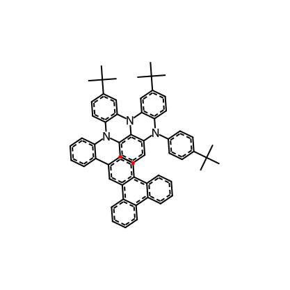 CC(C)(C)c1ccc(N2c3ccc(C(C)(C)C)cc3N3c4cc(C(C)(C)C)ccc4N(c4ccccc4-c4ccc5c6ccccc6c6ccccc6c5c4)c4cccc2c43)cc1